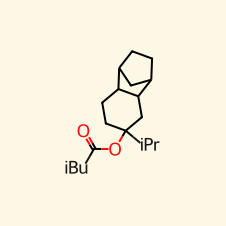 CCC(C)C(=O)OC1(C(C)C)CCC2C3CCC(C3)C2C1